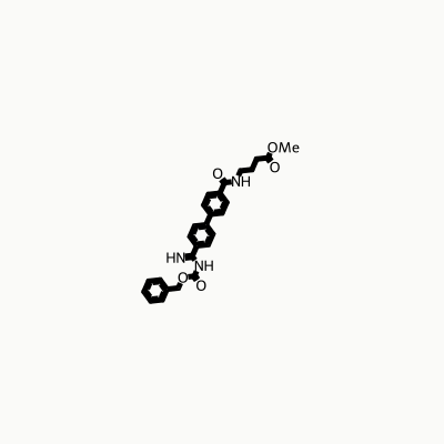 COC(=O)CCCNC(=O)c1ccc(-c2ccc(C(=N)NC(=O)OCc3ccccc3)cc2)cc1